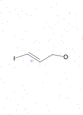 [O]C/C=C/I